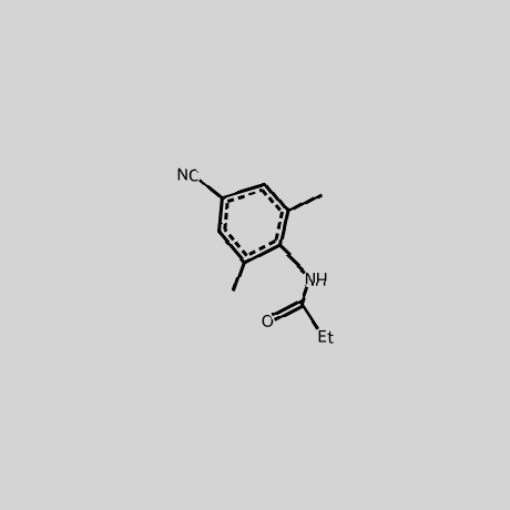 CCC(=O)Nc1c(C)cc(C#N)cc1C